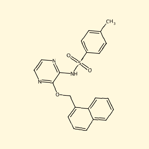 Cc1ccc(S(=O)(=O)Nc2nccnc2OCc2cccc3ccccc23)cc1